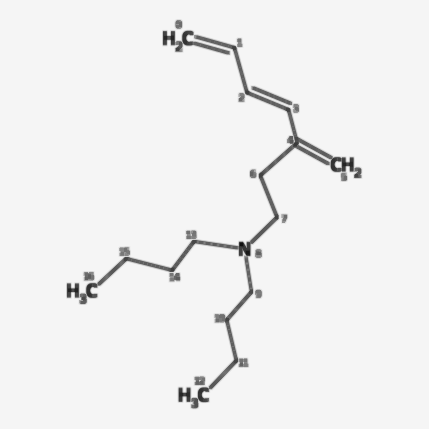 C=CC=CC(=C)CCN(CCCC)CCCC